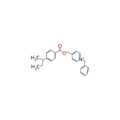 CCC(C)c1ccc(C(=O)OCc2cc[n+](Cc3ccccc3)cc2)cc1